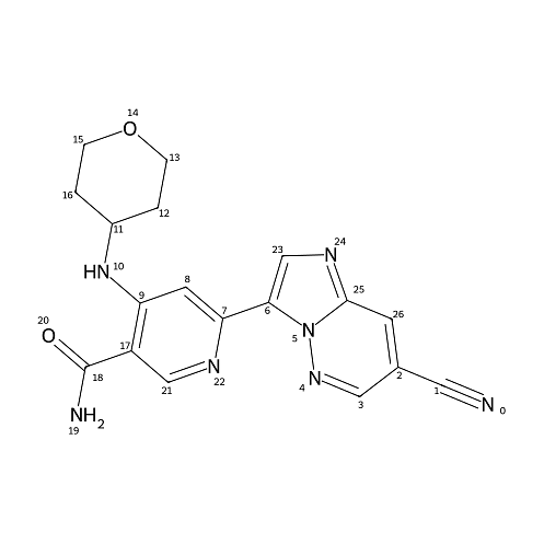 N#Cc1cnn2c(-c3cc(NC4CCOCC4)c(C(N)=O)cn3)cnc2c1